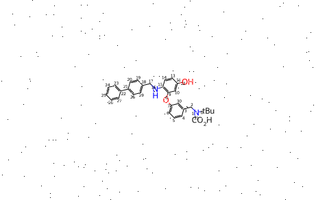 CC(C)(C)N(Cc1cccc(Oc2cc(O)ccc2NCc2ccc(-c3ccccc3)cc2)c1)C(=O)O